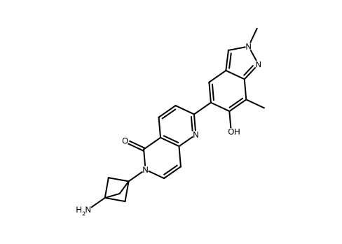 Cc1c(O)c(-c2ccc3c(=O)n(C45CC(N)(C4)C5)ccc3n2)cc2cn(C)nc12